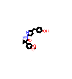 O=C(Nc1ccc(Cc2ccc(O)cc2)cn1)C1(c2ccc3c(c2)OCO3)CC1